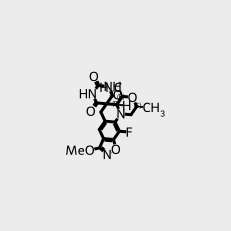 COc1noc2c(F)c3c(cc12)CC1(C(=O)NC(=O)NC1=O)[C@@H]1[C@@H](C)O[C@@H](C)CN31